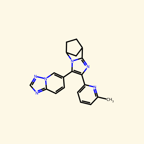 Cc1cccc(-c2nc3n(c2-c2ccc4ncnn4c2)C2CCC3C2)n1